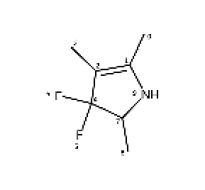 CC1=C(C)C(F)(F)C(C)N1